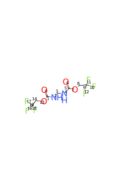 O=C(NCNC(=O)OCC(F)(F)F)OCC(F)(F)F